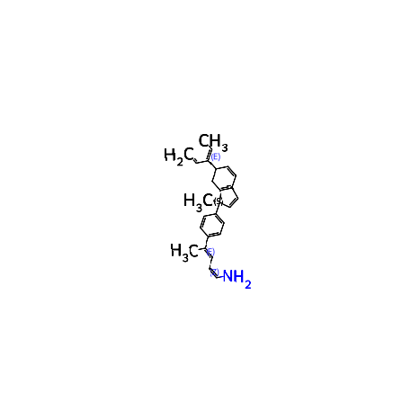 C=C/C(=C\C)C1C=CC2=C(C1)[C@](C)(c1ccc(/C(C)=C/C=C\N)cc1)C=C2